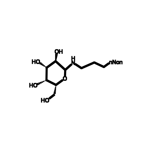 CCCCCCCCCCCCNC1O[C@H](CO)[C@H](O)[C@H](O)[C@H]1O